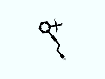 N#CCCC#Cc1ccccc1C(F)(F)F